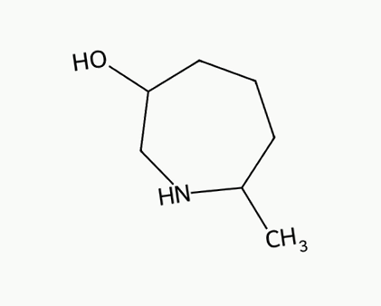 CC1CCCC(O)CN1